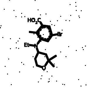 CCN(c1cc(Br)cc(C(=O)O)c1C)C1CCOC(C)(C)C1